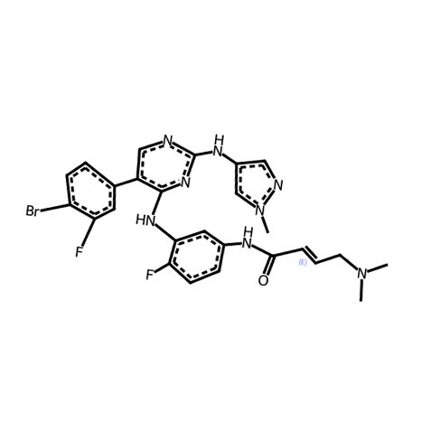 CN(C)C/C=C/C(=O)Nc1ccc(F)c(Nc2nc(Nc3cnn(C)c3)ncc2-c2ccc(Br)c(F)c2)c1